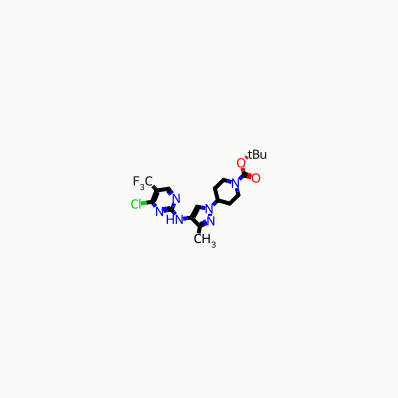 Cc1nn(C2CCN(C(=O)OC(C)(C)C)CC2)cc1Nc1ncc(C(F)(F)F)c(Cl)n1